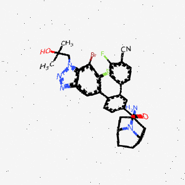 CC(C)(O)Cn1nnc2cc(-c3ccc(C(=O)N4C5CCC4CC(N)C5)cc3-c3ccc(C#N)c(F)c3)c(F)c(Br)c21